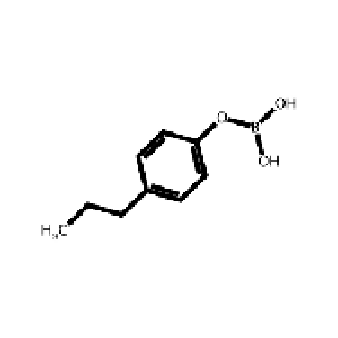 CCCc1ccc(OB(O)O)cc1